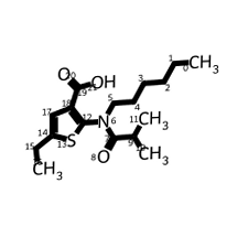 CCCCCCN(C(=O)C(C)C)c1sc(CC)cc1C(=O)O